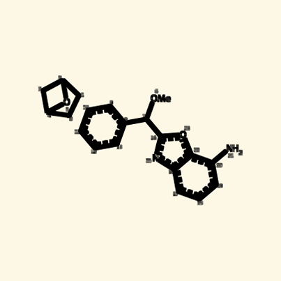 C1CC2CC1O2.COC(c1ccccc1)c1nc2cccc(N)c2o1